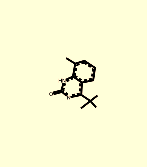 Cc1cccc2c(C(C)(C)C)nc(=O)[nH]c12